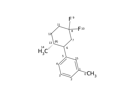 Cc1cccc(C2CC(F)(F)CC[C@H]2C)c1